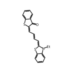 CCN1/C(=C/C=C/C=C2/Sc3ccccc3C2=O)Sc2ccccc21